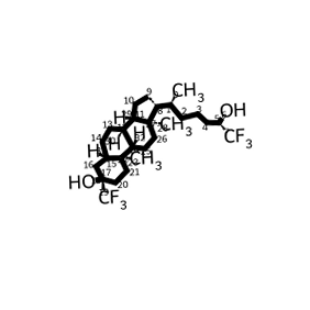 C[C@H](CCC[C@H](O)C(F)(F)F)[C@H]1CC[C@H]2[C@@H]3CC[C@H]4C[C@](O)(C(F)(F)F)CC[C@]4(C)[C@H]3CC[C@]12C